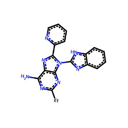 CCc1nc(N)c2nc(-c3ccccn3)n(-c3nc4ccccc4[nH]3)c2n1